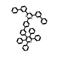 c1ccc(-c2cccc(-c3cc(-c4cccc(-c5ccccc5)c4)nc(-c4ccc(-c5cccc(-c6c(-c7ccccc7)c(-c7ccccc7)nc(-c7ccccc7)c6-c6ccccc6)c5)cc4)n3)c2)cc1